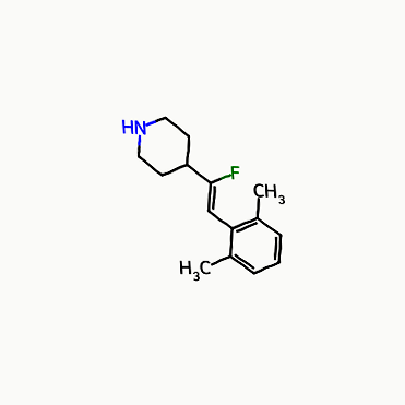 Cc1cccc(C)c1/C=C(\F)C1CCNCC1